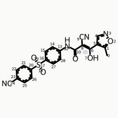 Cc1oncc1/C(O)=C(\C#N)C(=O)Nc1ccc(S(=O)(=O)c2ccc(C#N)cc2)cc1